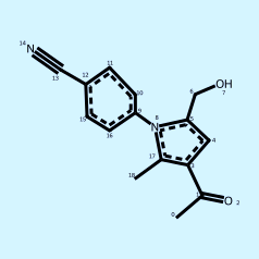 CC(=O)c1cc(CO)n(-c2ccc(C#N)cc2)c1C